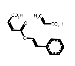 C=CC(=O)O.O=C(O)/C=C\C(=O)OC=Cc1ccccc1